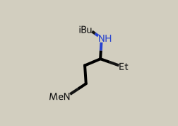 CCC(C)NC(CC)CCNC